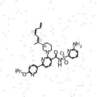 C=C/C=C\C=C(/C)[C@H]1CCCN(c2nc(-c3ccc(OC(C)C)nc3)ccc2C(=O)NS(=O)(=O)c2cccc(N)n2)C1